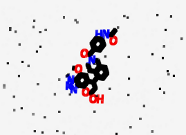 COc1cc(C(CC(=O)O)c2cccc3c2CCN(C(=O)c2ccc(NC(C)=O)cc2)C3)cc2nnn(C)c12